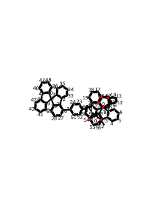 CC1(C)c2ccccc2C2(c3ccccc3-c3cccc(N(c4ccc(-c5cccc6c5-c5ccccc5C65c6ccccc6-c6ccccc65)cc4)c4ccccc4-c4ccccc4)c32)c2ccccc21